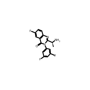 C[C@H](N)c1nc2ccc(F)cc2c(=O)n1-c1cc(F)cc(F)c1